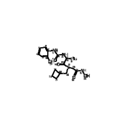 CC(C)(C)[C@H](NC(=O)Nc1ccccc1O)C(=O)N(CC(=O)NO)CC1CCC1